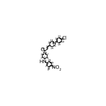 Cc1cc(NC2CCN(C(=O)CCC3CCN(c4ccc(Cl)cc4)CC3)CC2)ccc1[N+](=O)[O-]